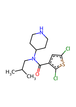 CC(C)CN(C(=O)c1cc(Cl)sc1Cl)C1CCNCC1